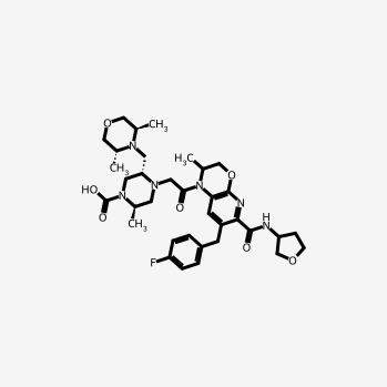 CC1COc2nc(C(=O)NC3CCOC3)c(Cc3ccc(F)cc3)cc2N1C(=O)CN1C[C@@H](C)N(C(=O)O)C[C@@H]1CN1[C@H](C)COC[C@H]1C